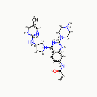 C=CC(=O)Nc1ccc2c(N3CC[C@@H](Nc4ncc(C#N)cn4)C3)nc(N3CCN(C)CC3)nc2c1